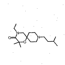 CCN1CC2(CCN(CCC(C)C)CC2)OC(C)(C)C1=O